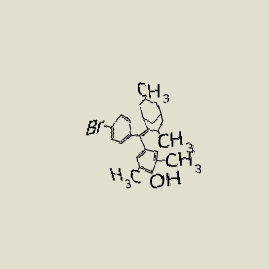 Cc1cc(/C(=C2\C(C)CC3CC(C)CC2C3)c2ccc(Br)cc2)cc(C)c1O